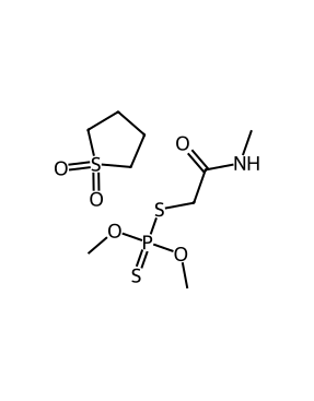 CNC(=O)CSP(=S)(OC)OC.O=S1(=O)CCCC1